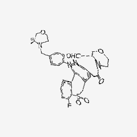 C[C@H]1COCCN1Cc1ccc(-n2nc(C(=O)N3CCOCC3C=O)c3c2-c2cccc(F)c2S(=O)(=O)C3)cc1